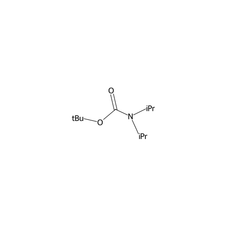 CC(C)N(C(=O)OC(C)(C)C)C(C)C